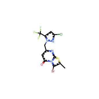 Cc1sc2nc(Cn3nc(Cl)cc3C(F)(F)F)cc(=O)n2c1Br